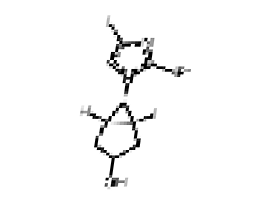 CC(C)c1nc(I)cn1[C@H]1[C@@H]2CC(O)C[C@@H]21